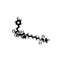 CC(C)(C)OC(=O)NCCCCCCCn1cc(C(=O)NC(CCc2ccc(F)cc2)C(=O)O)nn1